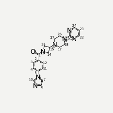 O=C(c1ccc(-n2ccnc2)cc1)N1CC(N2CCN(c3ncccn3)CC2)C1